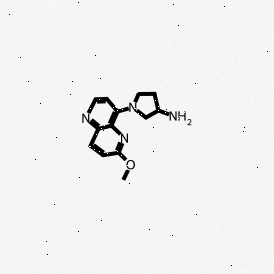 COc1ccc2nccc(N3CCC(N)C3)c2n1